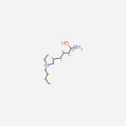 CCCCN(CC)CCCCCC(N)O